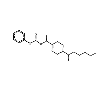 CCCCCC(C)C1CC=C(C(C)OC(=O)Oc2ccccc2)CC1